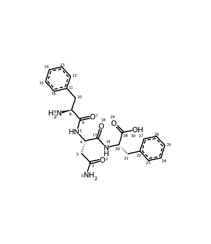 NC(=O)C[C@H](NC(=O)[C@@H](N)Cc1ccccc1)C(=O)N[C@@H](Cc1ccccc1)C(=O)O